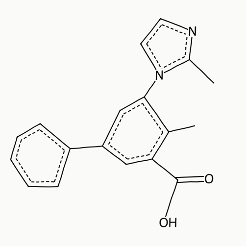 Cc1c(C(=O)O)cc(-c2ccccc2)cc1-n1ccnc1C